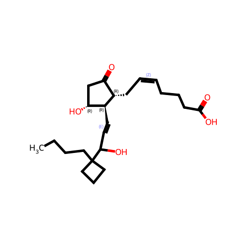 CCCCC1(C(O)/C=C/[C@H]2[C@H](O)CC(=O)[C@@H]2C/C=C\CCCC(=O)O)CCC1